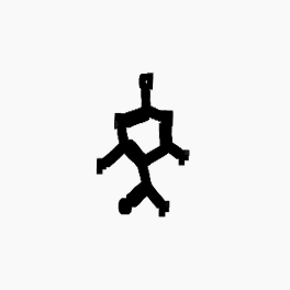 O=C(F)c1c(F)nc(Cl)nc1F